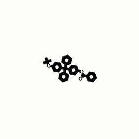 CC(C)(C)Oc1ccc(C(c2ccccc2)(c2ccccc2)c2ccc(OC(=O)c3ccccc3)cc2)cc1